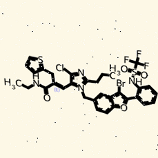 CCCc1nc(Cl)c(/C=C(\Cc2cccs2)C(=O)NCC)n1Cc1ccc2oc(-c3ccccc3NS(=O)(=O)C(F)(F)F)c(Br)c2c1